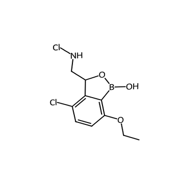 CCOc1ccc(Cl)c2c1B(O)OC2CNCl